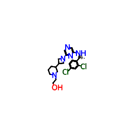 C[C@@H](Nc1cncc(N2CC(C3CCCN(CCO)C3)C2)n1)c1ccc(Cl)cc1Cl